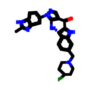 Cc1nc2cc(-n3ncc(C(=O)c4cc5ccc(CN6CCC(F)CC6)cc5[nH]4)c3N)ccc2[nH]1